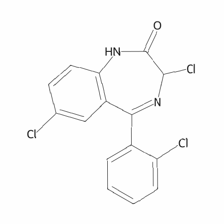 O=C1Nc2ccc(Cl)cc2C(c2ccccc2Cl)=NC1Cl